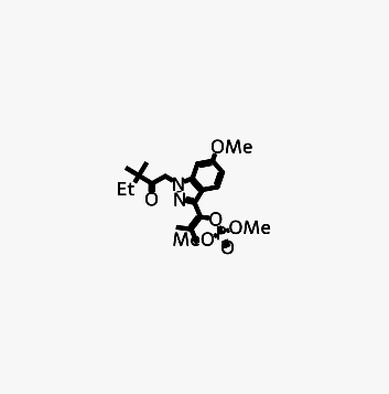 CCC(C)(C)C(=O)Cn1nc(C(OP(=O)(OC)OC)=C(C)C)c2ccc(OC)cc21